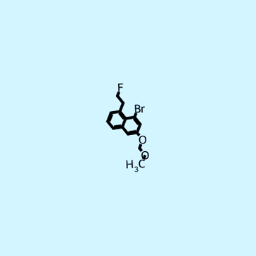 COCOc1cc(Br)c2c(CCF)cccc2c1